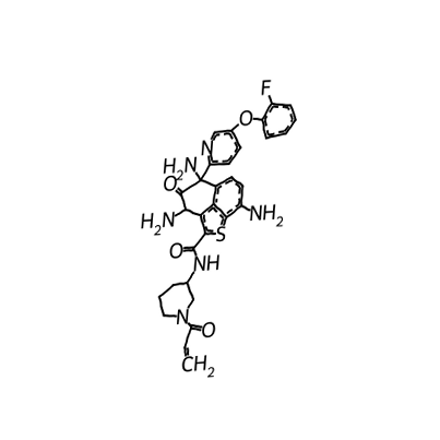 C=CC(=O)N1CCCC(NC(=O)c2sc3c(N)ccc4c3c2C(N)C(=O)C4(N)c2ccc(Oc3ccccc3F)cn2)C1